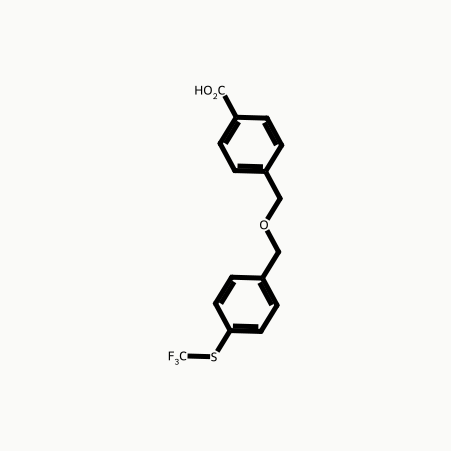 O=C(O)c1ccc(COCc2ccc(SC(F)(F)F)cc2)cc1